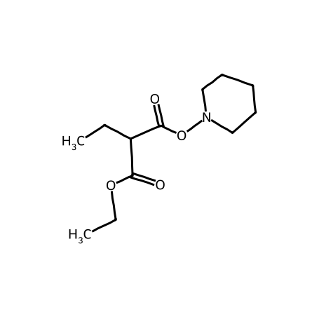 CCOC(=O)C(CC)C(=O)ON1CCCCC1